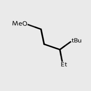 CCC(CCOC)C(C)(C)C